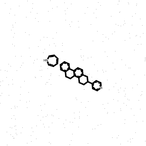 C1=CC=CNC=C1.c1ccc2c(c1)CCc1c-2ccc2c1CCC(c1ccncc1)C2